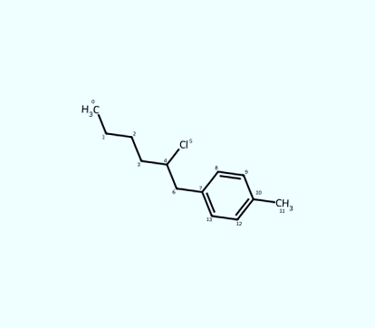 CCCCC(Cl)Cc1ccc(C)cc1